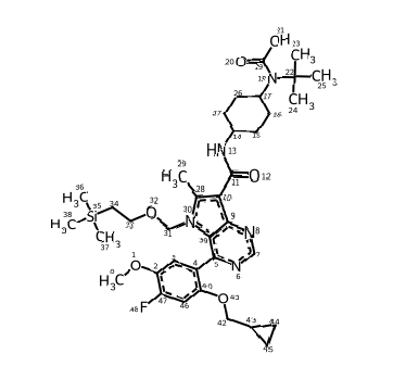 COc1cc(-c2ncnc3c(C(=O)NC4CCC(N(C(=O)O)C(C)(C)C)CC4)c(C)n(COCC[Si](C)(C)C)c23)c(OCC2CC2)cc1F